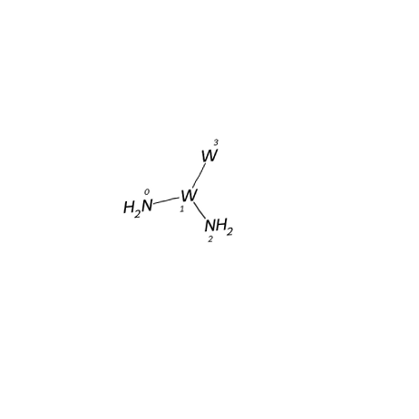 [NH2][W]([NH2])[W]